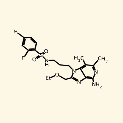 CCOCc1nc2c(N)nc(C)c(C)c2n1CCCNS(=O)(=O)c1ccc(F)cc1F